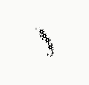 CCOCc1ccc(COc2ccc(-c3ccc(-c4ccc(C)cc4)c(F)c3F)cc2)c(F)c1